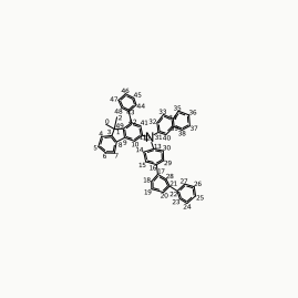 CC1(C)c2ccccc2-c2cc(N(c3ccc(-c4cccc(-c5ccccc5)c4)cc3)c3ccc4ccccc4c3)cc(-c3ccccc3)c21